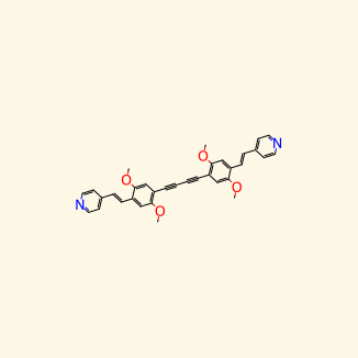 COc1cc(C=Cc2ccncc2)c(OC)cc1C#CC#Cc1cc(OC)c(C=Cc2ccncc2)cc1OC